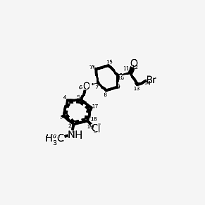 CNc1ccc(O[C@H]2CC[C@H](C(=O)CBr)CC2)cc1Cl